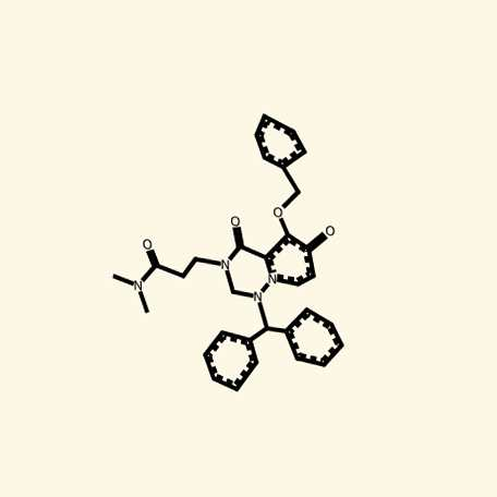 CN(C)C(=O)CCN1CN(C(c2ccccc2)c2ccccc2)n2ccc(=O)c(OCc3ccccc3)c2C1=O